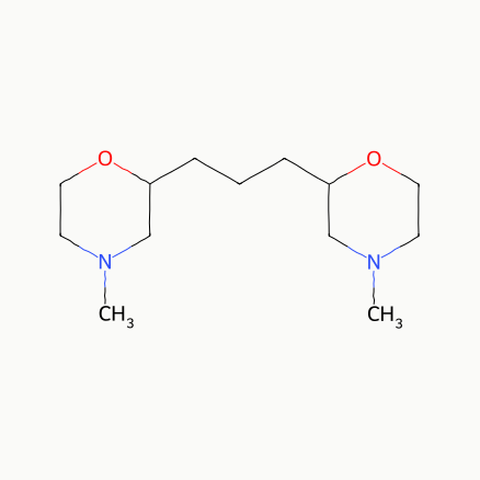 CN1CCOC(CCCC2CN(C)CCO2)C1